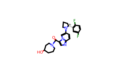 O=C(c1cnc2ccc(N3CCC[C@@H]3c3cc(F)ccc3F)cn12)N1CCCC(O)CC1